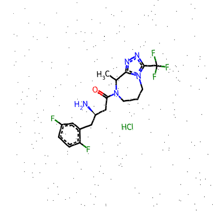 CC1c2nnc(C(F)(F)F)n2CCCN1C(=O)C[C@H](N)Cc1cc(F)ccc1F.Cl